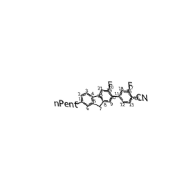 CCCCCc1ccc2c(c1)Cc1cc(-c3ccc(C#N)c(F)c3)c(F)cc1-2